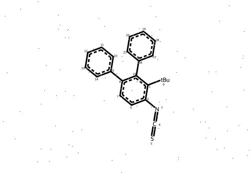 CC(C)(C)c1c(N=C=S)ccc(-c2ccccc2)c1-c1ccccc1